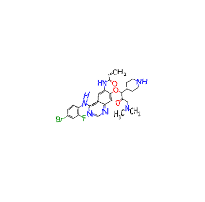 C=CC(=O)Nc1cc2c(Nc3ccc(Br)cc3F)ncnc2cc1OC(C(=O)CN(C)C)C1CCNCC1